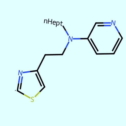 CCCCCCCN(CCc1cs[c]n1)c1cccnc1